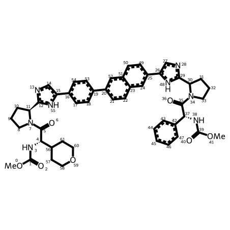 COC(=O)N[C@H](C(=O)N1CCC[C@H]1c1ncc(-c2ccc(-c3ccc4cc(-c5cnc(C6CCCN6C(=O)[C@H](NC(=O)OC)c6ccccc6)[nH]5)ccc4c3)cc2)[nH]1)C1CCOCC1